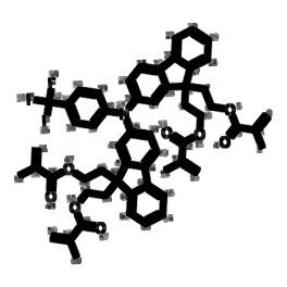 C=C(C)C(=O)OCCC1(CCOC(=O)C(=C)C)c2ccccc2-c2ccc(N(c3ccc(C(F)(F)F)cc3)c3ccc4c(c3)C(CCOC(=O)C(=C)C)(CCOC(=O)C(=C)C)c3ccccc3-4)cc21